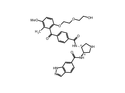 COc1ccc(OCCOCCO)c(C(=O)c2ccc(C(=O)N[C@@H]3CNC[C@H]3NC(=O)c3ccc4cn[nH]c4c3)cc2)c1C